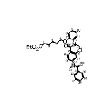 CCOC(=O)CCCCCOc1ccccc1N(C)C(=O)c1ccc(N(C)C(=O)c2ccccc2)cc1Cl